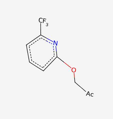 CC(=O)COc1cccc(C(F)(F)F)n1